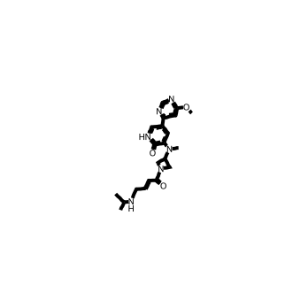 COc1cc(-c2c[nH]c(=O)c(N(C)C3CN(C(=O)C=CCNC(C)C)C3)c2)ncn1